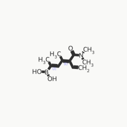 C=C/C(C(=O)N(C)C)=C(C)\C=C(/C)B(O)O